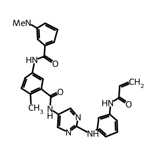 C=CC(=O)Nc1cccc(Nc2ncc(NC(=O)c3cc(NC(=O)c4cccc(NC)c4)ccc3C)cn2)c1